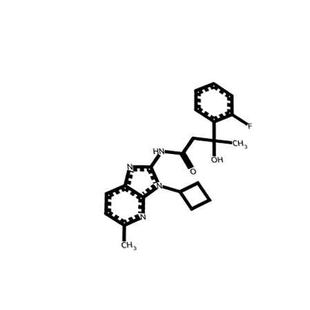 Cc1ccc2nc(NC(=O)CC(C)(O)c3ccccc3F)n(C3CCC3)c2n1